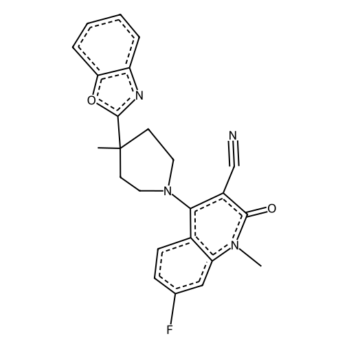 Cn1c(=O)c(C#N)c(N2CCC(C)(c3nc4ccccc4o3)CC2)c2ccc(F)cc21